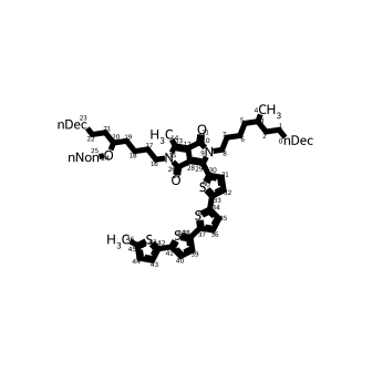 CCCCCCCCCCCCC(C)CCCCN1C(=O)C2=C(C)N(CCCCC(CCCCCCCCCCCC)OCCCCCCCCC)C(=O)C2=C1c1ccc(-c2ccc(-c3ccc(-c4ccc(C)s4)s3)s2)s1